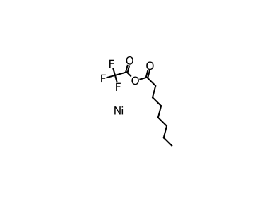 CCCCCCCC(=O)OC(=O)C(F)(F)F.[Ni]